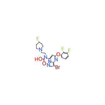 O=C(O)N(CCN1CCC(F)CC1)c1cc(Oc2cccc(F)c2F)nc2c(Br)cnn12